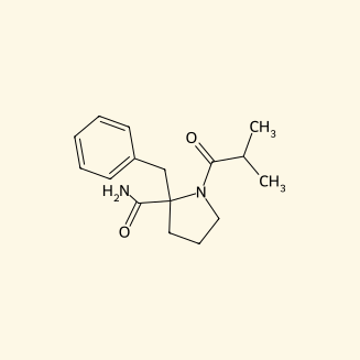 CC(C)C(=O)N1CCCC1(Cc1ccccc1)C(N)=O